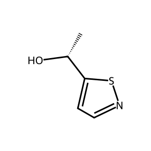 C[C@@H](O)c1ccns1